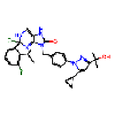 CC(C)c1c(F)cccc1C1(Cl)N=c2c([nH]c(=O)n2Cc2ccc(-n3nc(C(C)(C)O)cc3C3CC3)cc2)=CN1